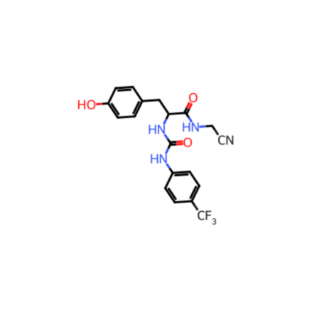 N#CCNC(=O)C(Cc1ccc(O)cc1)NC(=O)Nc1ccc(C(F)(F)F)cc1